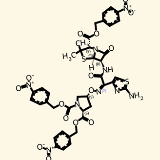 CC1(C)S[C@@H]2[C@H](NC(=O)/C(=N\O[C@H]3C[C@@H](C(=O)OCc4ccc([N+](=O)[O-])cc4)N(C(=O)OCc4ccc([N+](=O)[O-])cc4)C3)c3csc(N)n3)C(=O)N2[C@H]1C(=O)OCc1ccc([N+](=O)[O-])cc1